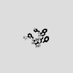 Cc1cccc(COC(=O)N[C@H](C(=O)N[C@@H](Cc2ccccc2)[C@@H](O)C[C@H](Cc2ccccc2)NC(=O)OCc2ccoc2)C(C)C)n1